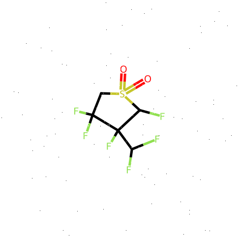 O=S1(=O)CC(F)(F)C(F)(C(F)F)C1F